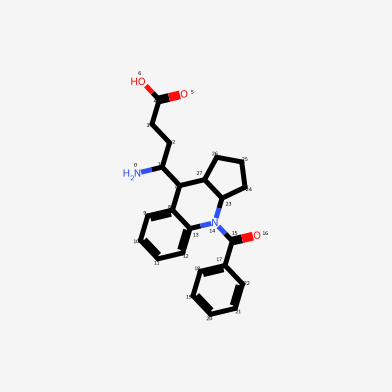 NC(CCC(=O)O)C1c2ccccc2N(C(=O)c2ccccc2)C2CCCC12